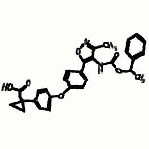 Cc1noc(-c2ccc(Oc3ccc(C4(C(=O)O)CC4)cc3)cc2)c1NC(=O)OC(C)c1ccccc1